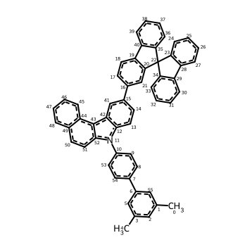 Cc1cc(C)cc(-c2ccc(-n3c4ccc(-c5ccc6c(c5)C5(c7ccccc7-c7ccccc75)c5ccccc5-6)cc4c4c5ccccc5ccc43)cc2)c1